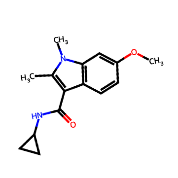 COc1ccc2c(C(=O)NC3CC3)c(C)n(C)c2c1